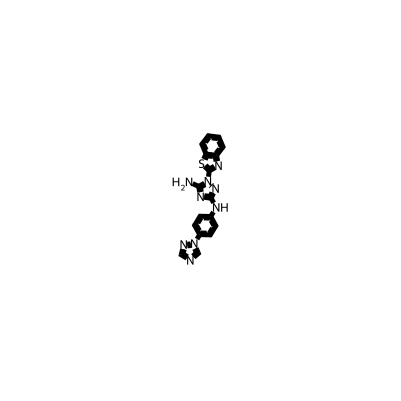 Nc1nc(Nc2ccc(-n3cncn3)cc2)nn1-c1nc2ccccc2s1